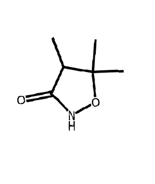 CC1C(=O)NOC1(C)C